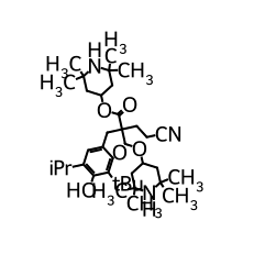 CC(C)c1cc(CC(CCC#N)(C(=O)OC2CC(C)(C)NC(C)(C)C2)C(=O)OC2CC(C)(C)NC(C)(C)C2)cc(C(C)(C)C)c1O